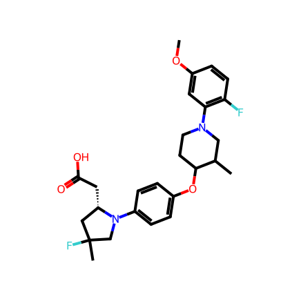 COc1ccc(F)c(N2CCC(Oc3ccc(N4CC(C)(F)C[C@@H]4CC(=O)O)cc3)C(C)C2)c1